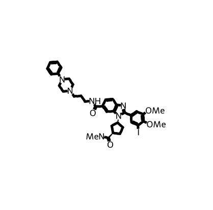 CNC(=O)[C@@H]1CC[C@@H](n2c(-c3cc(I)c(OC)c(OC)c3)nc3ccc(C(=O)NCCCN4CCN(c5ccccc5)CC4)cc32)C1